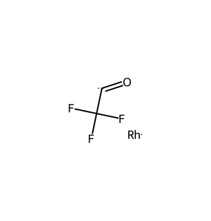 O=[C]C(F)(F)F.[Rh]